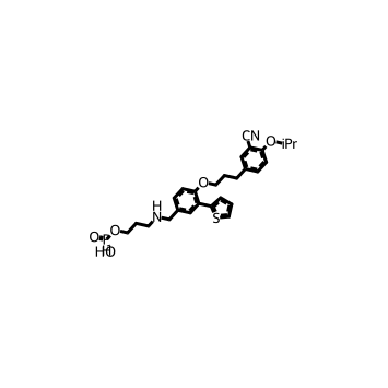 CC(C)Oc1ccc(CCCOc2ccc(CNCCCO[PH](=O)O)cc2-c2cccs2)cc1C#N